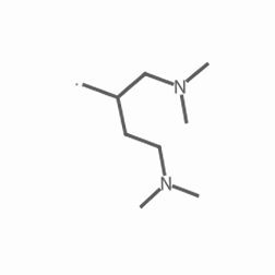 [CH2]C(CCN(C)C)CN(C)C